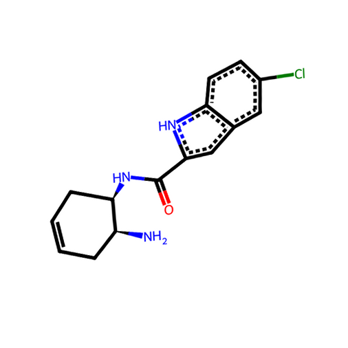 N[C@H]1CC=CC[C@H]1NC(=O)c1cc2cc(Cl)ccc2[nH]1